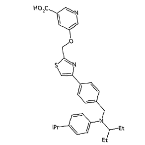 CCC(CC)N(Cc1ccc(-c2csc(COc3cncc(C(=O)O)c3)n2)cc1)c1ccc(C(C)C)cc1